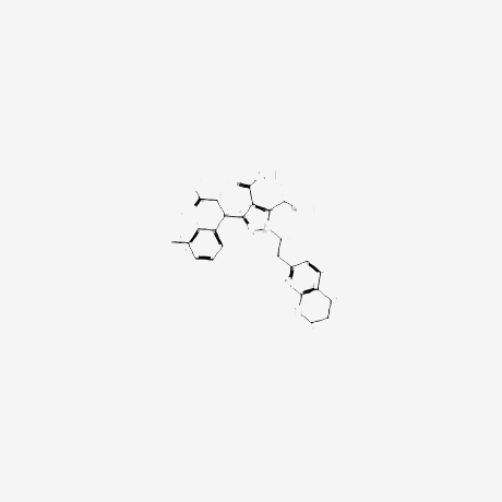 NC(=O)c1c(C(CC(=O)O)c2cccc(Cl)c2)nn(CCc2ccc3c(n2)NCCC3)c1CO